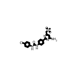 CS(=O)(=O)Cc1cc(N)nc(-c2ccc(NC(=O)Nc3ccc(Cl)cc3)cc2)n1